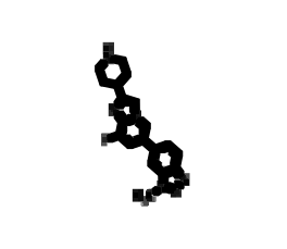 Cn1nnc2ccc(-c3cc(F)c4nc(C5CCNCC5)cn4c3)cc21